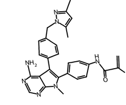 C=C(C)C(=O)Nc1ccc(-c2c(-c3ccc(Cn4nc(C)cc4C)cc3)c3c(N)ncnc3n2C)cc1